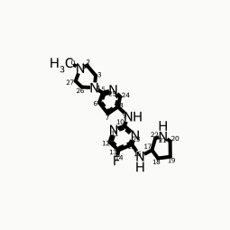 CN1CCN(c2ccc(Nc3ncc(F)c(NC4CCCNC4)n3)cn2)CC1